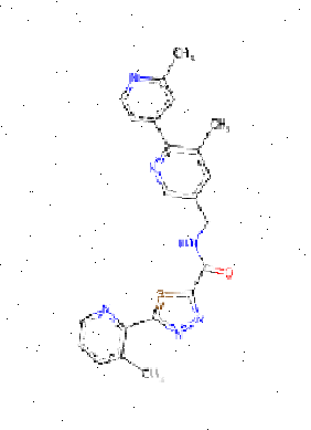 Cc1cc(-c2ncc(CNC(=O)c3nnc(-c4ncccc4C)s3)cc2C)ccn1